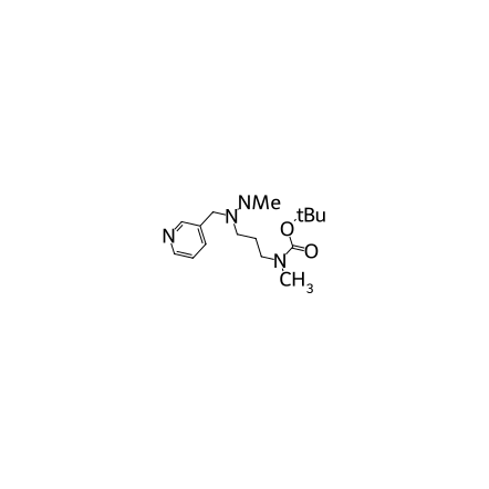 CNN(CCCN(C)C(=O)OC(C)(C)C)Cc1cccnc1